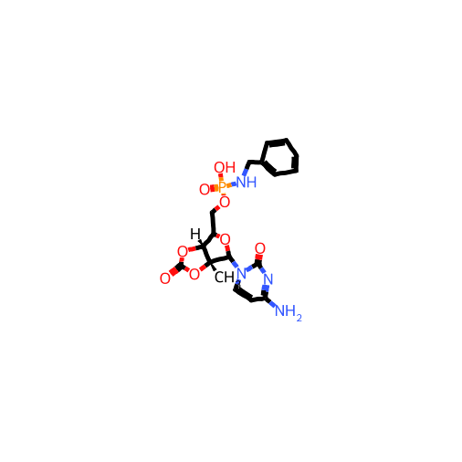 C[C@@]12OC(=O)O[C@@H]1C(COP(=O)(O)NCc1ccccc1)OC2n1ccc(N)nc1=O